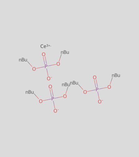 CCCCOP(=O)([O-])OCCCC.CCCCOP(=O)([O-])OCCCC.CCCCOP(=O)([O-])OCCCC.[Ce+3]